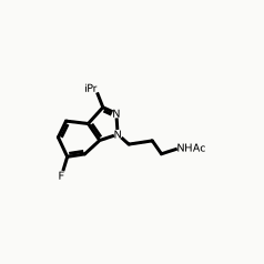 CC(=O)NCCCn1nc(C(C)C)c2ccc(F)cc21